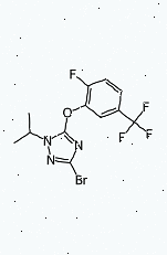 CC(C)n1nc(Br)nc1Oc1cc(C(F)(F)F)ccc1F